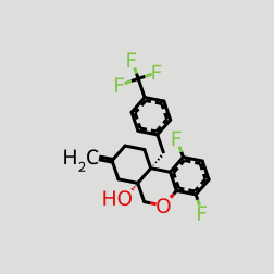 C=C1CC[C@@]2(Cc3ccc(C(F)(F)F)cc3)c3c(F)ccc(F)c3OC[C@@]2(O)C1